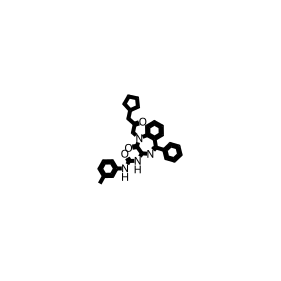 Cc1cccc(NC(=O)NC2N=C(c3ccccc3)c3ccccc3N(CC(=O)CC3CCCC3)C2=O)c1